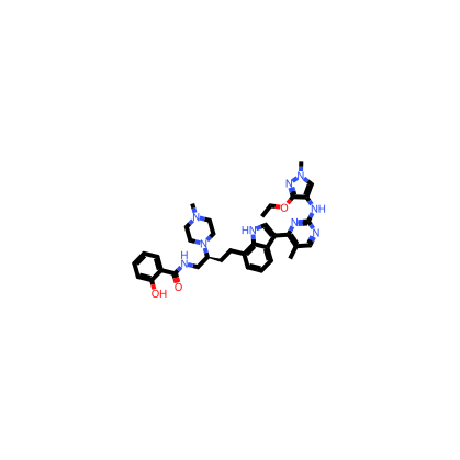 CCOc1nn(C)cc1Nc1ncc(C)c(-c2c[nH]c3c(CC[C@@H](CNC(=O)c4ccccc4O)N4CCN(C)CC4)cccc23)n1